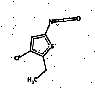 CCc1sc(N=C=O)cc1Cl